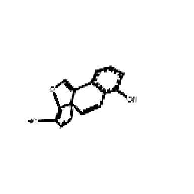 OC1=C2OC=C3c4cccc(O)c4C=CC32CC=C1